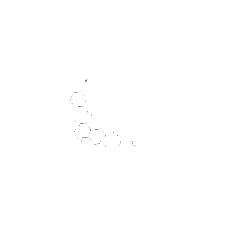 C#Cc1cc(Nc2ncnc3cnc(NC(=O)/C=C/CC)cc23)ccc1F